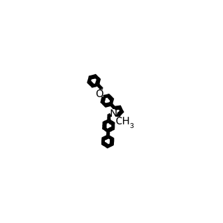 Cc1ccc(-c2ccc(OCc3ccccc3)cc2)n1Cc1ccc(-c2ccccc2)cc1